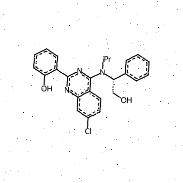 CC(C)N(c1nc(-c2ccccc2O)nc2cc(Cl)ccc12)[C@@H](CO)c1ccccc1